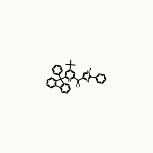 Cn1cc(C(=O)c2cc(C(C)(C)C)cc(C3(c4ccccc4)c4ccccc4-c4ccccc43)n2)nc1-c1ccccc1